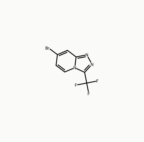 FC(F)(F)c1nnc2cc(Br)ccn12